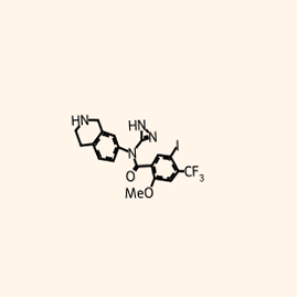 COc1cc(C(F)(F)F)c(I)cc1C(=O)N(C1=NN1)c1ccc2c(c1)CNCC2